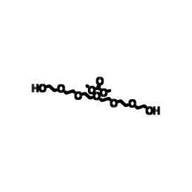 COC(=O)OC.OCCOCCOCCOCCOCCOCCO